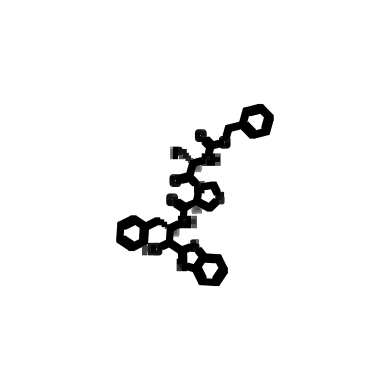 CC(C)[C@H](NC(=O)OCc1ccccc1)C(=O)N1CSC[C@H]1C(=O)N[C@@H](Cc1ccccc1)C(O)c1nc2ccccc2s1